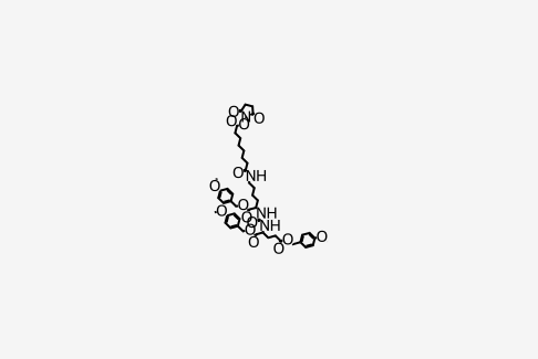 COc1ccc(COC(=O)CCC(NC(=O)NC(CCCCNC(=O)CCCCCCC(=O)ON2C(=O)CCC2=O)C(=O)OCc2ccc(OC)cc2)C(=O)OCc2ccc(OC)cc2)cc1